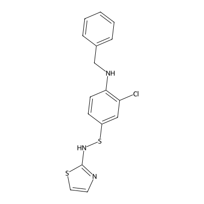 Clc1cc(SNc2nccs2)ccc1NCc1ccccc1